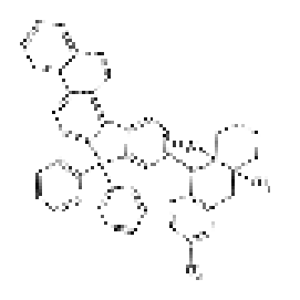 CC12CCCCC1(C)N(c1ccc3c(c1)C(c1ccccc1)(c1ccccc1)c1ccc4c(ccc5ccccc54)c1-3)c1ccc(C(F)(F)F)cc1C2